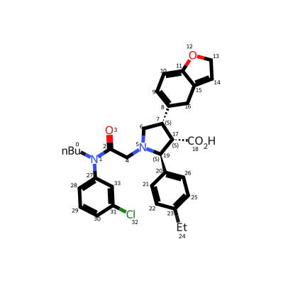 CCCCN(C(=O)CN1C[C@H](C2=CC=C3OCC=C3C2)[C@H](C(=O)O)[C@H]1c1ccc(CC)cc1)c1cccc(Cl)c1